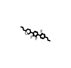 CCCc1ccc(-c2ccc(C3CCC(CCC)OC3)c(F)c2F)c(F)c1